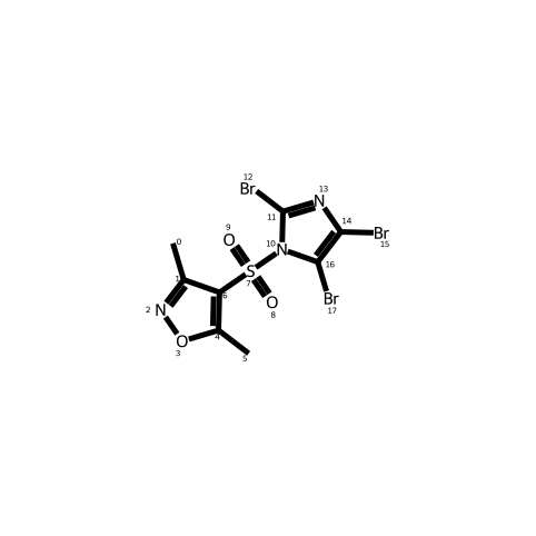 Cc1noc(C)c1S(=O)(=O)n1c(Br)nc(Br)c1Br